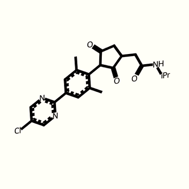 Cc1cc(-c2ncc(Cl)cn2)cc(C)c1C1C(=O)CC(CC(=O)NC(C)C)C1=O